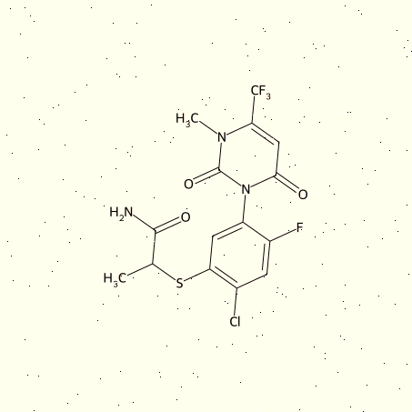 CC(Sc1cc(-n2c(=O)cc(C(F)(F)F)n(C)c2=O)c(F)cc1Cl)C(N)=O